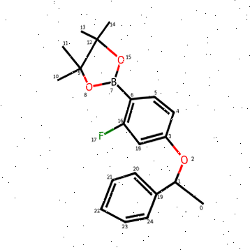 CC(Oc1ccc(B2OC(C)(C)C(C)(C)O2)c(F)c1)c1ccccc1